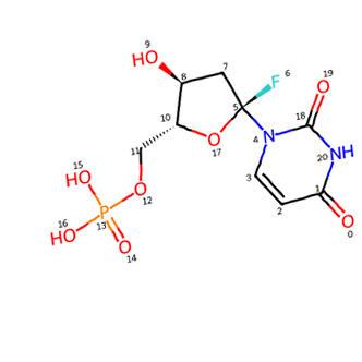 O=c1ccn([C@@]2(F)C[C@H](O)[C@@H](COP(=O)(O)O)O2)c(=O)[nH]1